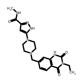 CCn1c(=O)[nH]c2cc(CN3CCN(c4cc(C(=O)NC)n[nH]4)CC3)ccc2c1=O